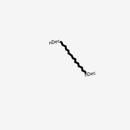 CCCCCCCCCCCCCCC[CH]CCCCCCCCCCCCCCCCCCC